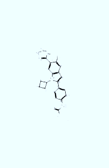 O=C(O)C(=O)Nc1ccc(-c2cc3cc(F)c(-c4nnn[nH]4)cc3n2C2CCC2)cc1